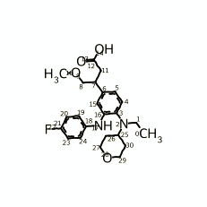 CCN(c1ccc(C(COC)CC(=O)O)cc1Nc1ccc(F)cc1)C1CCOCC1